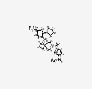 CC(=O)N(C)c1ccn(C(=O)N2CCC3(CCCN3Cc3ccc(C(F)(F)F)cc3N3CCCC3)CC2)n1